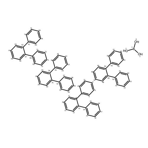 OB(O)O.c1ccc(-c2ccccc2-c2ccccc2)cc1.c1ccc(-c2ccccc2-c2ccccc2)cc1.c1ccc(-c2ccccc2-c2ccccc2)cc1.c1ccc(-c2ccccc2-c2ccccc2)cc1